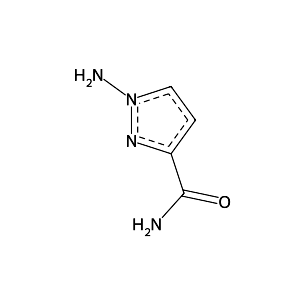 NC(=O)c1ccn(N)n1